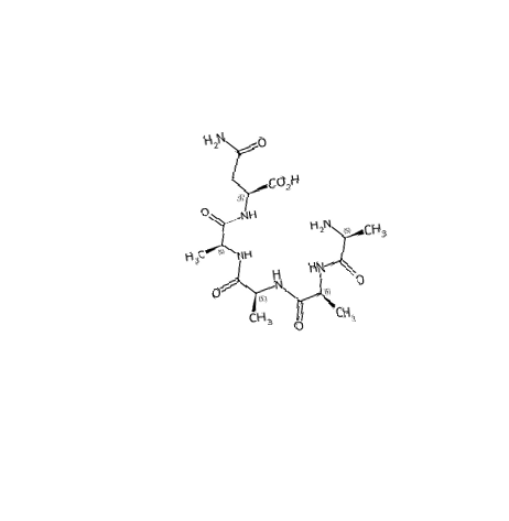 C[C@H](N)C(=O)N[C@@H](C)C(=O)N[C@@H](C)C(=O)N[C@@H](C)C(=O)N[C@@H](CC(N)=O)C(=O)O